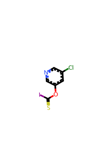 S=C(I)Oc1cncc(Cl)c1